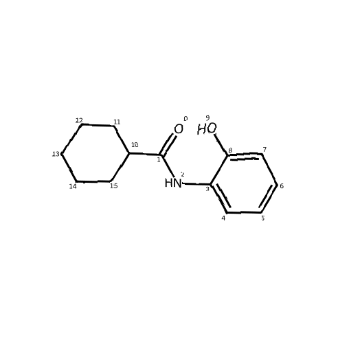 O=C(Nc1ccccc1O)C1CCCCC1